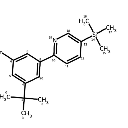 CC(C)(C)c1cc(Br)cc(-c2ccc([Si](C)(C)C)cn2)c1